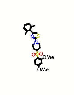 COc1ccc(S(=O)(=O)C2CCN(c3nc(-c4c(C)cccc4C)cs3)CC2)c(OC)c1